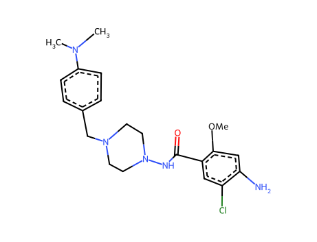 COc1cc(N)c(Cl)cc1C(=O)NN1CCN(Cc2ccc(N(C)C)cc2)CC1